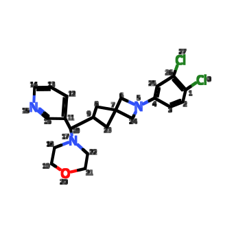 Clc1ccc(N2CC3(CC(C(c4cccnc4)N4CCOCC4)C3)C2)cc1Cl